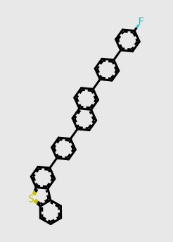 Fc1ccc(-c2ccc(-c3ccc4cc(-c5ccc(-c6ccc7sc8ccccc8c7c6)cc5)ccc4c3)cc2)cc1